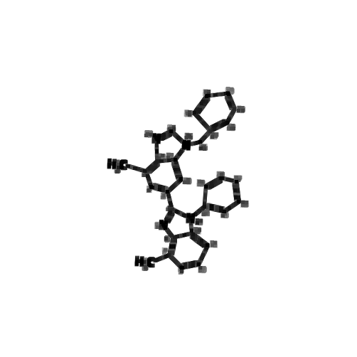 Cc1cc(-c2nc3c(C)cccc3n2-c2ccccc2)cc2c1ncn2Cc1ccccc1